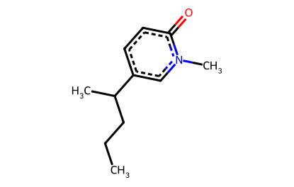 CCCC(C)c1ccc(=O)n(C)c1